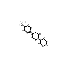 FC(F)(F)Oc1ccc(C2CCC(C3CCCCC3)CC2)cc1